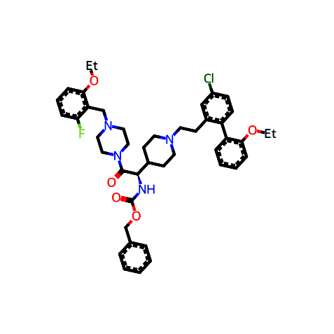 CCOc1ccccc1-c1ccc(Cl)cc1CCN1CCC([C@@H](NC(=O)OCc2ccccc2)C(=O)N2CCN(Cc3c(F)cccc3OCC)CC2)CC1